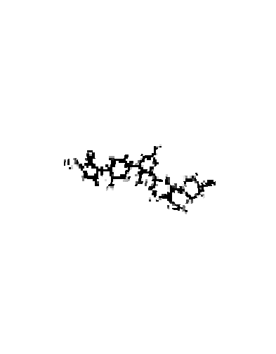 Cc1ncc(-c2cc(F)cc(-c3ccc(-n4ccn(C)c4=O)c(Cl)c3)c2O)cc1N1CCN(C(C)C)CC1